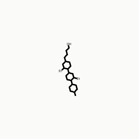 CCC1CC(CCCCO)CCC1C1CCC(C2CCC(C)CC2)C(CC)C1